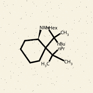 CCCCCCC(C)(CCCC)C1(C(C)(C)CCC)CCCC[C@H]1NC